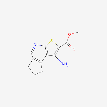 COC(=O)c1sc2ncc3c(c2c1N)CCC3